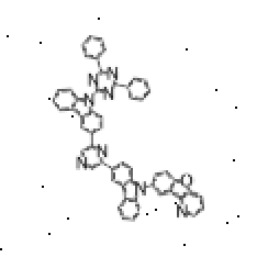 c1ccc(-c2nc(-c3ccccc3)nc(-n3c4ccccc4c4cc(-c5cncc(-c6ccc7c(c6)c6ccccc6n7-c6ccc7oc8cccnc8c7c6)n5)ccc43)n2)cc1